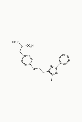 Cc1oc(-c2ccccc2)nc1CCOc1ccc(CC(C(=O)O)C(=O)O)cc1